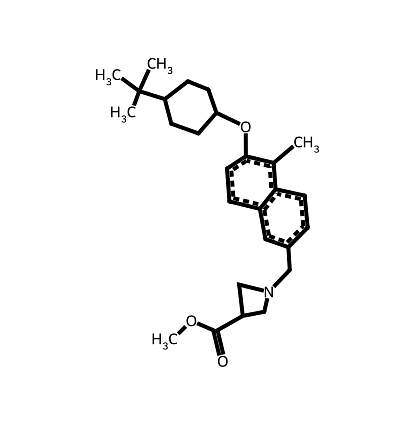 COC(=O)C1CN(Cc2ccc3c(C)c(OC4CCC(C(C)(C)C)CC4)ccc3c2)C1